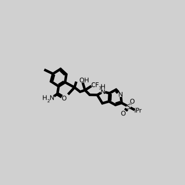 Cc1ccc(C(C)(C)CC(O)(CC2Cc3cc(S(=O)(=O)C(C)C)ncc3N2)C(F)(F)F)c(C(N)=O)c1